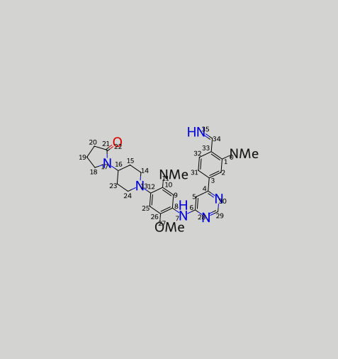 CNc1cc(-c2cc(Nc3cc(NC)c(N4CCC(N5CCCC5=O)CC4)cc3OC)ncn2)ccc1C=N